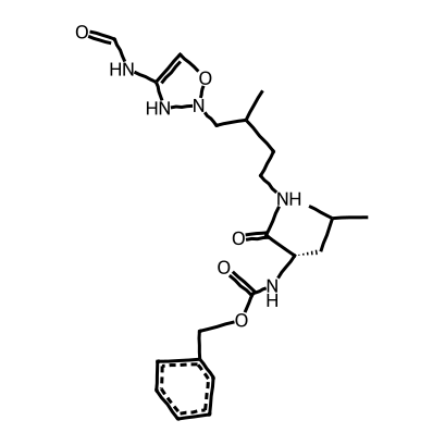 CC(C)C[C@H](NC(=O)OCc1ccccc1)C(=O)NCCC(C)CN1NC(NC=O)=CO1